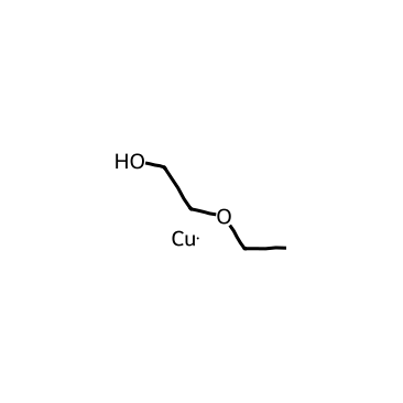 CCOCCO.[Cu]